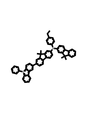 CCc1ccc(N(c2ccc3c(c2)C(C)(C)c2ccccc2-3)c2ccc3c(c2)C(C)(C)c2cc(-c4ccc5c(c4)c4ccccc4n5-c4ccccc4)ccc2-3)cc1